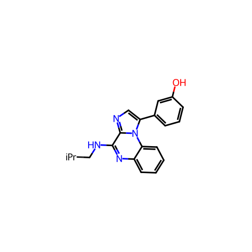 CC(C)CNc1nc2ccccc2n2c(-c3cccc(O)c3)cnc12